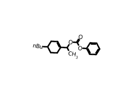 CCCCC1CC=C(C(C)OC(=O)Oc2ccccc2)CC1